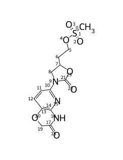 CS(=O)(=O)OCCC1CN(c2ccc3c(n2)NC(=O)CO3)C(=O)O1